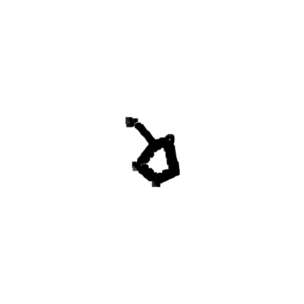 Brc1nnco1